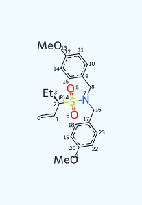 C=C[C@@H](CC)S(=O)(=O)N(Cc1ccc(OC)cc1)Cc1ccc(OC)cc1